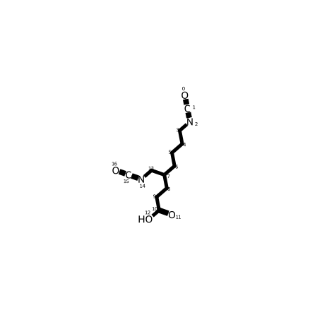 O=C=NCCCCC(CCC(=O)O)CN=C=O